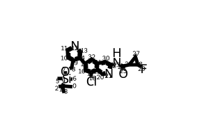 CC(C)(C)[Si](C)(C)OCc1ccncc1-c1cc(Cl)c2cnc(NC(=O)C3CC3F)cc2c1